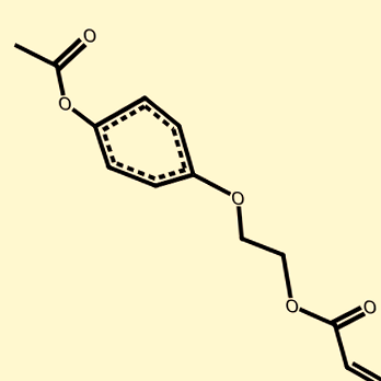 C=CC(=O)OCCOc1ccc(OC(C)=O)cc1